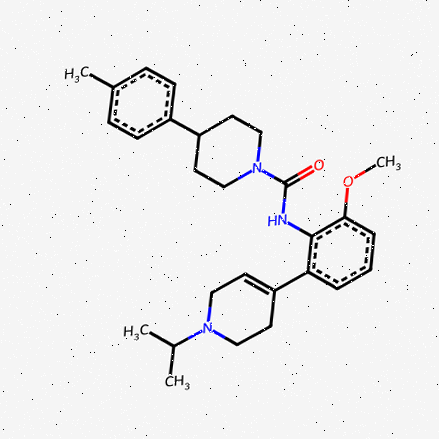 COc1cccc(C2=CCN(C(C)C)CC2)c1NC(=O)N1CCC(c2ccc(C)cc2)CC1